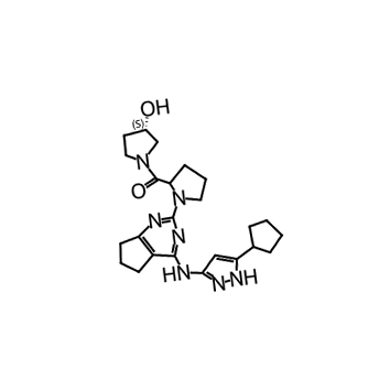 O=C(C1CCCN1c1nc2c(c(Nc3cc(C4CCCC4)[nH]n3)n1)CCC2)N1CC[C@H](O)C1